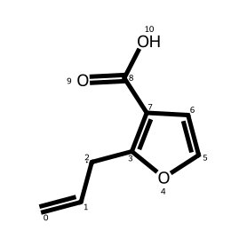 C=C[CH]c1occc1C(=O)O